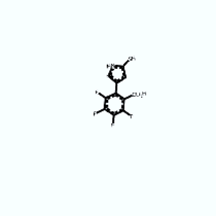 O=C(O)c1c(F)c(F)c(F)c(F)c1-c1c[nH]c(S)c1